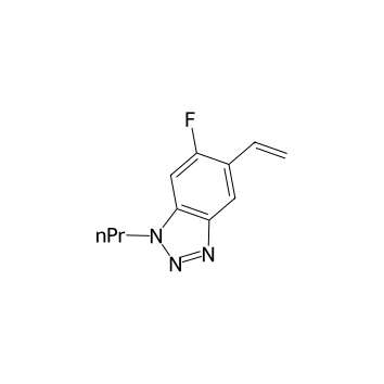 C=Cc1cc2nnn(CCC)c2cc1F